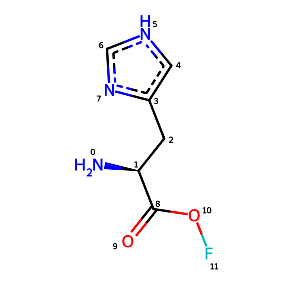 N[C@@H](Cc1c[nH]cn1)C(=O)OF